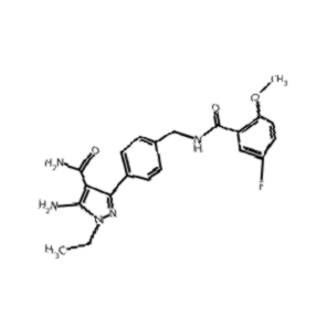 CCn1nc(-c2ccc(CNC(=O)c3cc(F)ccc3OC)cc2)c(C(N)=O)c1N